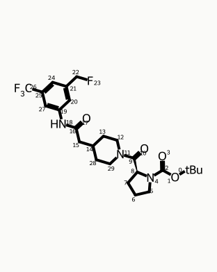 CC(C)(C)OC(=O)N1CCC[C@H]1C(=O)N1CCC(CC(=O)Nc2cc(CF)cc(C(F)(F)F)c2)CC1